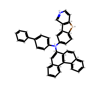 c1ccc(-c2ccc(N(c3ccc4sc5ccncc5c4c3)c3cc4ccccc4c4c3ccc3ccccc34)cc2)cc1